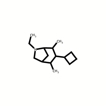 CCN1CC2CC1C(C)C(C1CCC1)C2C